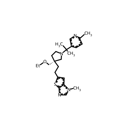 CCOC[C@]1(CCc2cc3c(ncn3C)s2)CCN(C(C)(C)c2ccc(C)nc2)C1